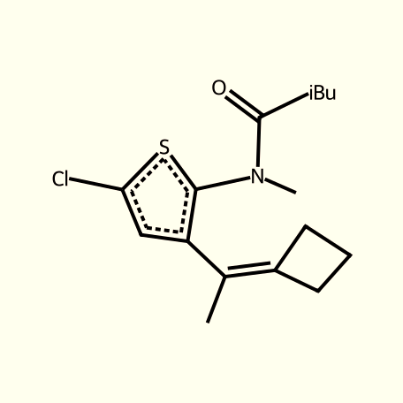 CCC(C)C(=O)N(C)c1sc(Cl)cc1C(C)=C1CCC1